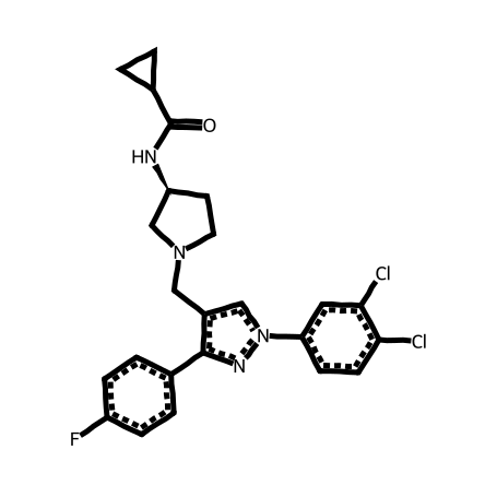 O=C(N[C@H]1CCN(Cc2cn(-c3ccc(Cl)c(Cl)c3)nc2-c2ccc(F)cc2)C1)C1CC1